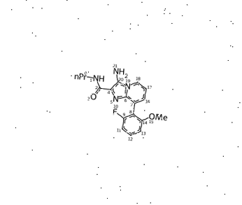 CCCNC(=O)c1nc2c(-c3c(F)cccc3OC)cccn2c1N